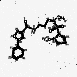 CN(CCCNC(=O)c1cc(-c2ccccc2)on1)S(=O)(=O)c1nccn1C